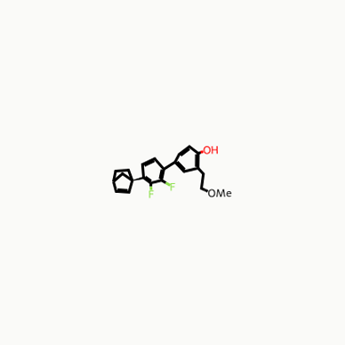 COCCc1cc(-c2ccc([C@]34C=CC(CC3)C4)c(F)c2F)ccc1O